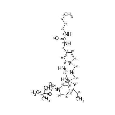 CCCCNC(=O)NCc1ccc(CN2CC(CCCC)(C3CCCN(C(=O)OC(C)(C)C)C3)NC2=N)cc1